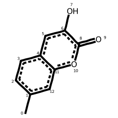 Cc1ccc2cc(O)c(=O)oc2c1